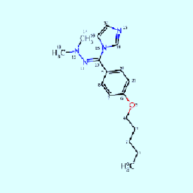 CCCCCOc1ccc(/C(=N/N(C)C)n2ccnc2)cc1